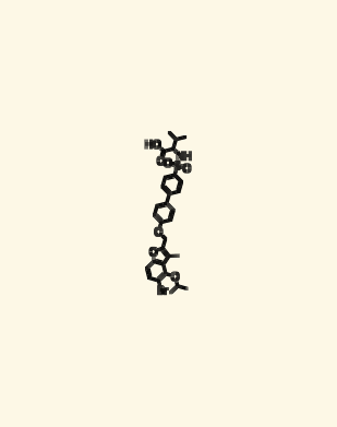 Cc1c(COc2ccc(-c3ccc(S(=O)(=O)N[C@@H](C(=O)O)C(C)C)cc3)cc2)oc2ccc(Br)c(OC(C)C)c12